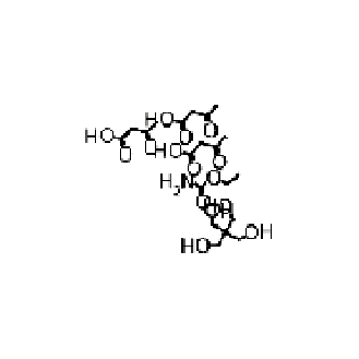 CC(=O)CC(=O)O.CC(=O)CC(=O)O.CC(=O)CC(=O)O.CCOC(N)=O.OCC(CO)(CO)CO